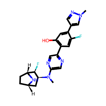 CN(c1cnc(-c2cc(F)c(-c3cnn(C)c3)cc2O)cn1)[C@H]1C[C@@H]2CC[C@@H](N2)[C@H]1F